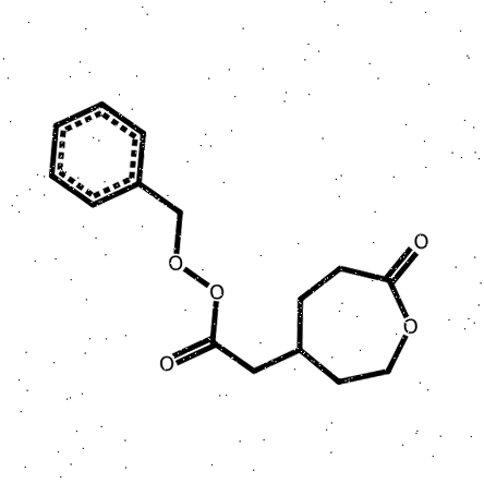 O=C1CCC(CC(=O)OOCc2ccccc2)CCO1